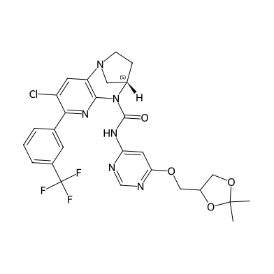 CC1(C)OCC(COc2cc(NC(=O)N3c4nc(-c5cccc(C(F)(F)F)c5)c(Cl)cc4N4CC[C@H]3C4)ncn2)O1